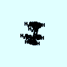 COCCOCCC1(C)C(=CC=CC=CC=CC2N(CCCS(=O)(=O)O)c3ccc4c(S(=O)(=O)O)cc(S(=O)(=O)O)cc4c3C2(C)CCOCCOC)N(CCCCCC(=O)O)c2ccc3c(S(=O)(=O)O)cc(S(=O)(=O)O)cc3c21